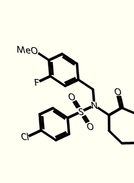 COc1ccc(CN(C2CCCCNC2=O)S(=O)(=O)c2ccc(Cl)cc2)cc1F